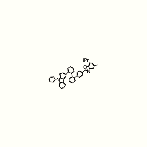 Cc1cc(C(C)C)c2oc(-c3ccc(-c4ccccc4-c4ccccc4-c4ccc5c(c4)c4ccccc4n5-c4ccccc4)cc3)nc2c1